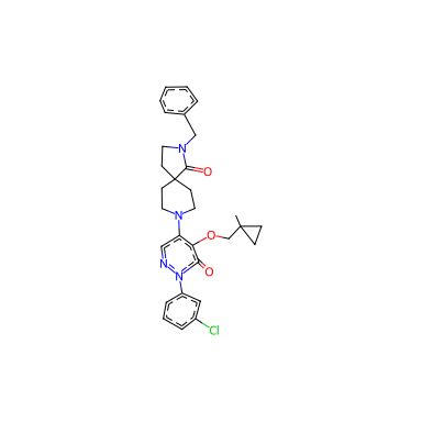 CC1(COc2c(N3CCC4(CCN(Cc5ccccc5)C4=O)CC3)cnn(-c3cccc(Cl)c3)c2=O)CC1